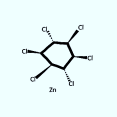 Cl[C@H]1[C@H](Cl)[C@@H](Cl)[C@@H](Cl)[C@H](Cl)[C@H]1Cl.[Zn]